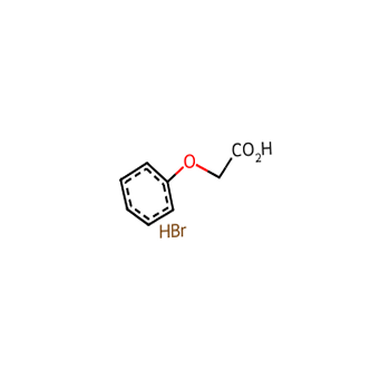 Br.O=C(O)COc1ccccc1